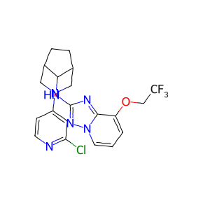 FC(F)(F)COc1cccn2nc(NC3C4CCC3CN(c3ccnc(Cl)c3)C4)nc12